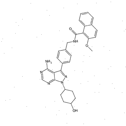 COc1ccc2ccccc2c1C(=O)NCc1ccc(-c2nn(C3CCC(O)CC3)c3ncnc(N)c23)cc1